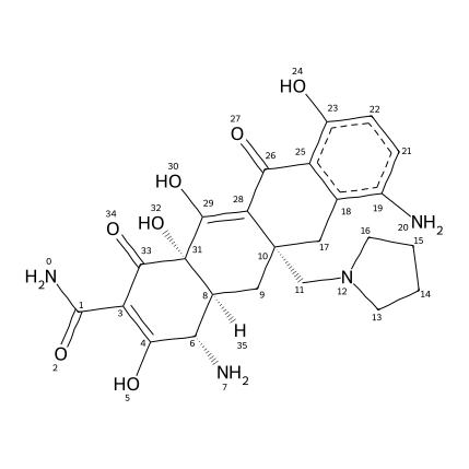 NC(=O)C1=C(O)[C@@H](N)[C@@H]2C[C@]3(CN4CCCC4)Cc4c(N)ccc(O)c4C(=O)C3=C(O)[C@]2(O)C1=O